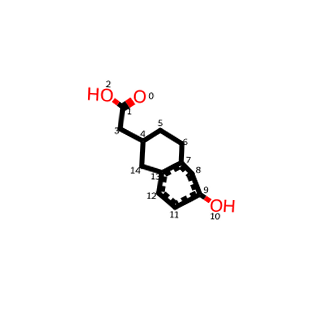 O=C(O)CC1CCc2cc(O)ccc2C1